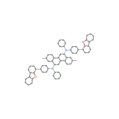 Cc1ccc2c(c1)c(N(c1ccccc1)c1ccc(-c3cccc4c3oc3ccccc34)cc1)cc1c3ccc(C)cc3c(N(c3ccccc3)c3ccc(-c4cccc5c4oc4ccccc45)cc3)cc21